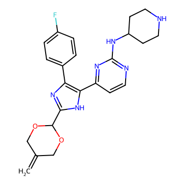 C=C1COC(c2nc(-c3ccc(F)cc3)c(-c3ccnc(NC4CCNCC4)n3)[nH]2)OC1